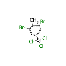 Cc1c(Br)cc([Si](Cl)(Cl)Cl)cc1Br